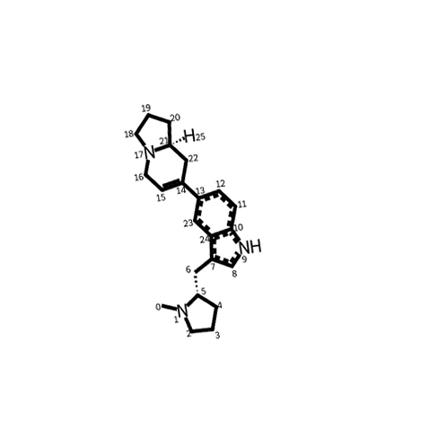 CN1CCC[C@H]1Cc1c[nH]c2ccc(C3=CCN4CCC[C@H]4C3)cc12